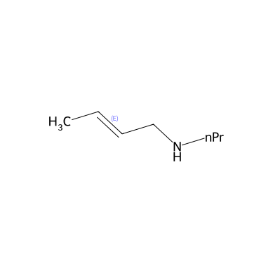 C/C=C/CNCCC